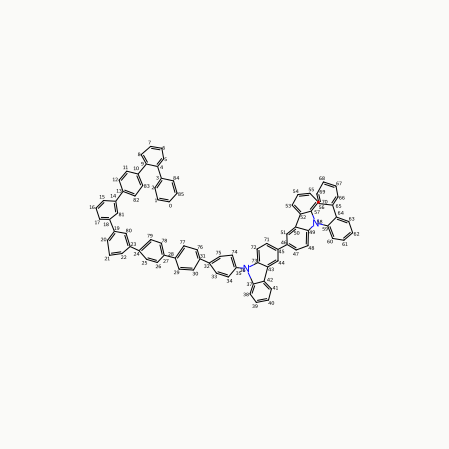 c1ccc(-c2ccccc2-c2ccc(-c3cccc(-c4cccc(-c5ccc(-c6ccc(-c7ccc(-n8c9ccccc9c9cc(-c%10ccc%11c(c%10)c%10ccccc%10n%11-c%10ccccc%10-c%10ccccc%10)ccc98)cc7)cc6)cc5)c4)c3)cc2)cc1